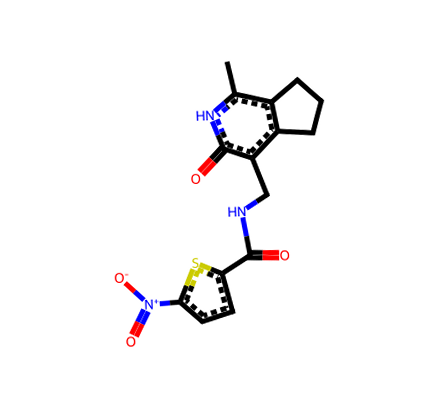 Cc1[nH]c(=O)c(CNC(=O)c2ccc([N+](=O)[O-])s2)c2c1CCC2